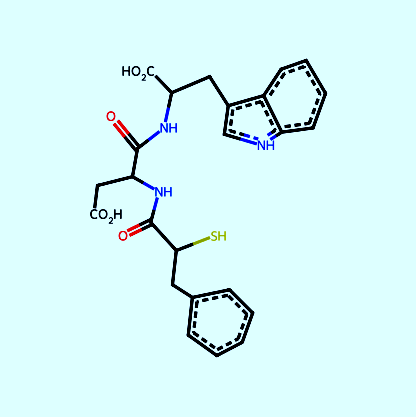 O=C(O)CC(NC(=O)C(S)Cc1ccccc1)C(=O)NC(Cc1c[nH]c2ccccc12)C(=O)O